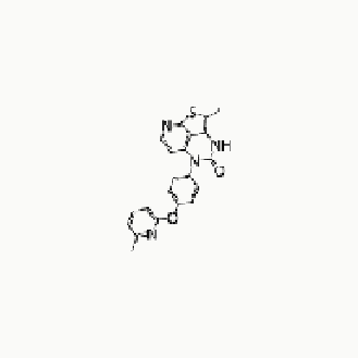 Cc1cccc(Oc2ccc(N3C(=O)Nc4c(C)sc5nccc3c45)cc2)n1